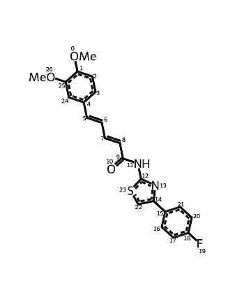 COc1ccc(/C=C/C=C/C(=O)Nc2nc(-c3ccc(F)cc3)cs2)cc1OC